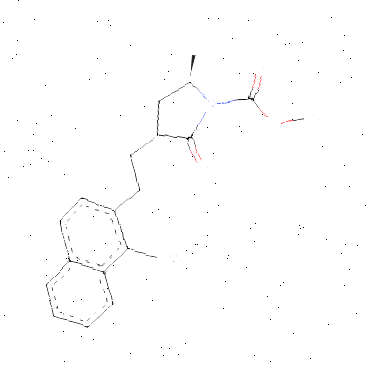 COc1c(CCC2C[C@@H](C(=O)O)N(C(=O)OC(C)(C)C)C2=O)ccc2ccccc12